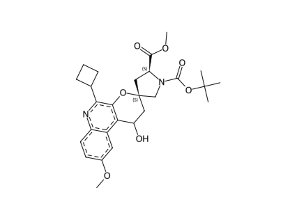 COC(=O)[C@@H]1C[C@]2(CC(O)c3c(c(C4CCC4)nc4ccc(OC)cc34)O2)CN1C(=O)OC(C)(C)C